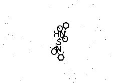 COc1ccccc1CNC(=O)CSCc1nc(-c2ccccc2C)oc1C